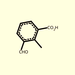 Cc1c(C=O)cccc1C(=O)O